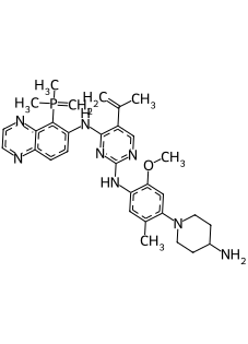 C=C(C)c1cnc(Nc2cc(C)c(N3CCC(N)CC3)cc2OC)nc1Nc1ccc2nccnc2c1P(=C)(C)C